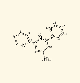 CC(C)(C)c1cc(-c2ccccn2)nc(-c2ccccn2)c1